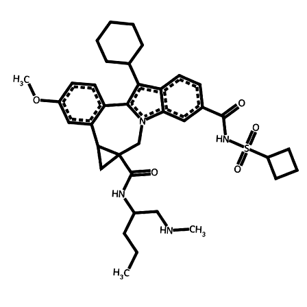 CCCC(CNC)NC(=O)C12CC1c1cc(OC)ccc1-c1c(C3CCCCC3)c3ccc(C(=O)NS(=O)(=O)C4CCC4)cc3n1C2